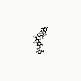 Cc1cc(C)c(S(=O)(=O)NC(CN(C)C(=O)c2c[nH]c3c(F)c(CNC4NCCN4)c(F)cc3c2=O)C(=O)O)c(C)c1